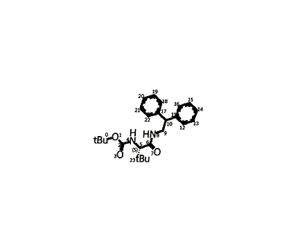 CC(C)(C)OC(=O)N[C@H](C(=O)NCC(c1ccccc1)c1ccccc1)C(C)(C)C